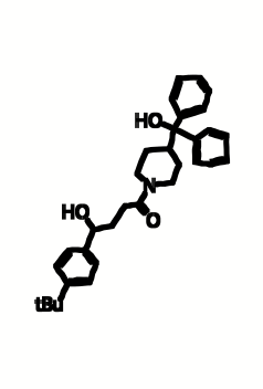 CC(C)(C)c1ccc(C(O)CCC(=O)N2CCC(C(O)(c3ccccc3)c3ccccc3)CC2)cc1